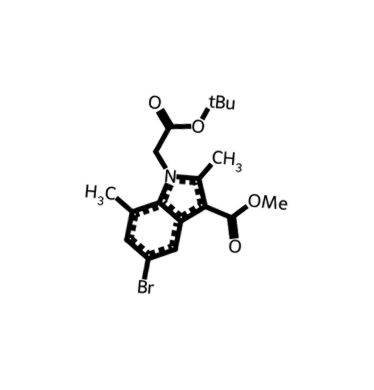 COC(=O)c1c(C)n(CC(=O)OC(C)(C)C)c2c(C)cc(Br)cc12